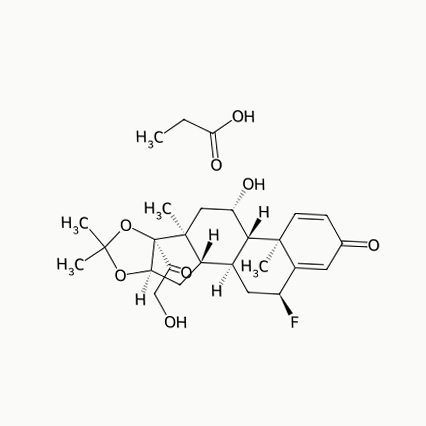 CC1(C)O[C@@H]2C[C@H]3[C@@H]4C[C@H](F)C5=CC(=O)C=C[C@]5(C)[C@H]4[C@@H](O)C[C@]3(C)[C@]2(C(=O)CO)O1.CCC(=O)O